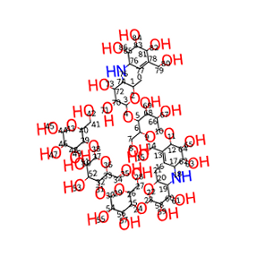 CC1OC(OC2C(CO)OC(OC3C(CO)=CC(NC4C(C)OC(OC5C(CO)OC(OC6C(CO)OC(OC7C(CO)OC(O)C(O)C7O)C(O)C6O)C(O)C5O)C(O)C4O)C(O)C3O)C(O)C2O)C(O)C(O)C1NC1C=C(CO)C(O)C(O)C1O